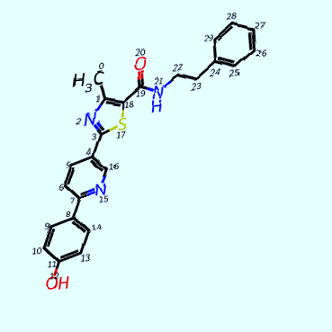 Cc1nc(-c2ccc(-c3ccc(O)cc3)nc2)sc1C(=O)NCCc1ccccc1